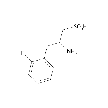 NC(Cc1ccccc1F)CS(=O)(=O)O